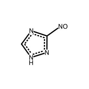 O=Nc1nc[nH]n1